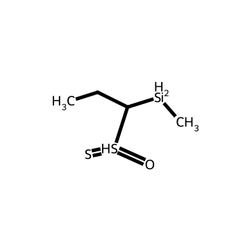 CCC([SiH2]C)[SH](=O)=S